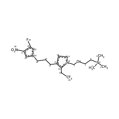 C[Si](C)(C)CCOCn1ncc(CCCn2cc([N+](=O)[O-])c(F)n2)c1CC(F)(F)F